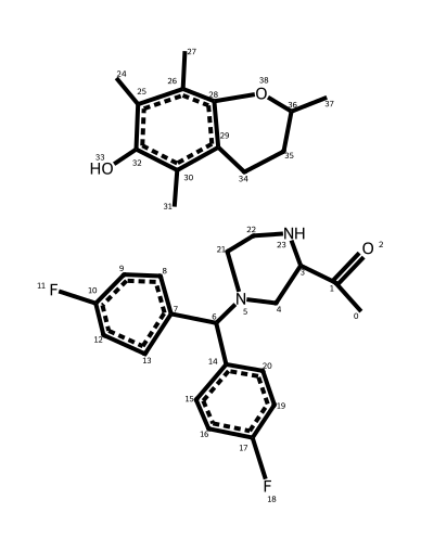 CC(=O)C1CN(C(c2ccc(F)cc2)c2ccc(F)cc2)CCN1.Cc1c(C)c2c(c(C)c1O)CCC(C)O2